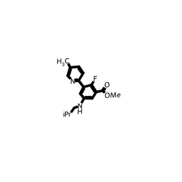 COC(=O)c1cc(NCC(C)C)cc(-c2ccc(C)cn2)c1F